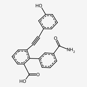 NC(=O)c1cccc(-c2c(C#Cc3cccc(O)c3)cccc2C(=O)O)c1